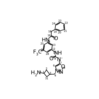 NC1CC(C[n+]2cc([N-]C(=O)Nc3cc(NC(=O)Cc4ccccc4)cc(C(F)(F)F)c3)on2)C1